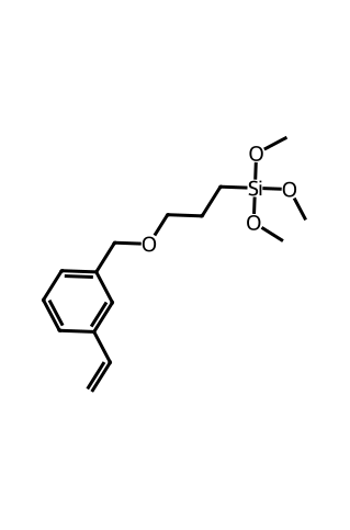 C=Cc1cccc(COCCC[Si](OC)(OC)OC)c1